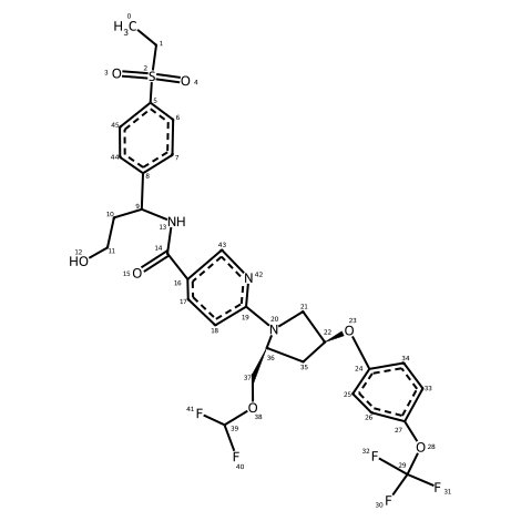 CCS(=O)(=O)c1ccc(C(CCO)NC(=O)c2ccc(N3C[C@@H](Oc4ccc(OC(F)(F)F)cc4)C[C@H]3COC(F)F)nc2)cc1